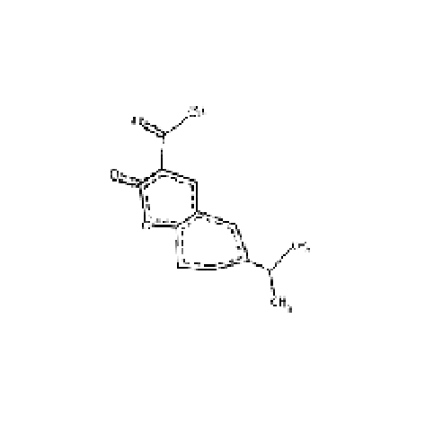 CC(C)c1ccc2oc(=O)c(C(=O)O)cc2c1